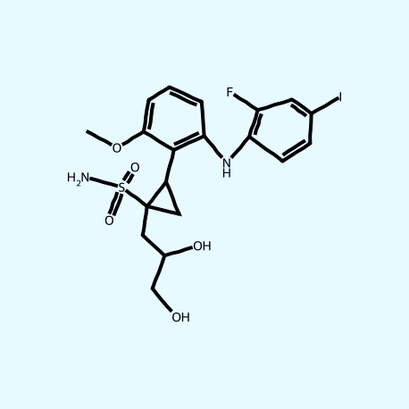 COc1cccc(Nc2ccc(I)cc2F)c1C1CC1(CC(O)CO)S(N)(=O)=O